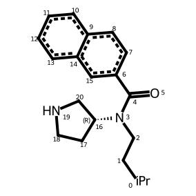 CC(C)CCN(C(=O)c1ccc2ccccc2c1)[C@@H]1CCNC1